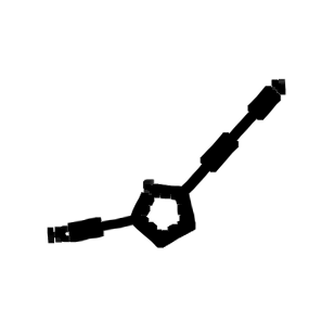 C#Cc1ccc(C#CC#N)s1